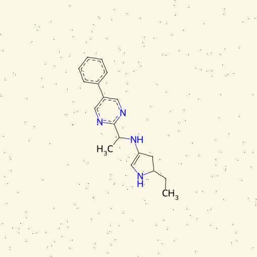 CCC1CC(NC(C)c2ncc(-c3ccccc3)cn2)=CN1